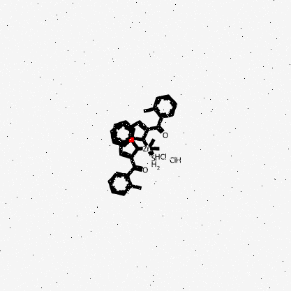 Cc1ccccc1C(=O)C1=Cc2ccccc2[CH]1[Zr]([CH3])([CH3])(=[SiH2])[CH]1C(C(=O)c2ccccc2C)=Cc2ccccc21.Cl.Cl